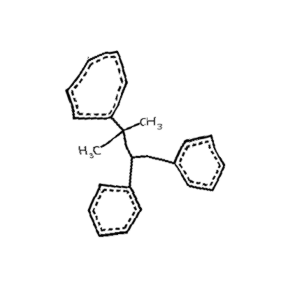 CC(C)(c1cc[c]cc1)C(c1ccccc1)c1ccccc1